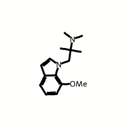 COc1cccc2ccn(CC(C)(C)N(C)C)c12